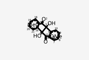 COC(=O)C(O)(c1ccccc1)C(O)(C(=O)OC)c1ccccc1